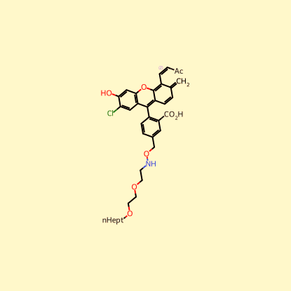 C=c1ccc2c(c1/C=C\C(C)=O)Oc1cc(O)c(Cl)cc1C=2c1ccc(CONCCOCCOCCCCCCC)cc1C(=O)O